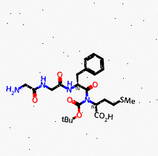 CSCC[C@@H](C(=O)O)N(C(=O)OC(C)(C)C)C(=O)[C@H](Cc1ccccc1)NC(=O)CNC(=O)CN